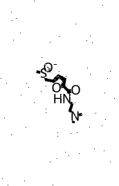 CN(C)CCNC(=O)c1ccc(C[S+](C)[O-])o1